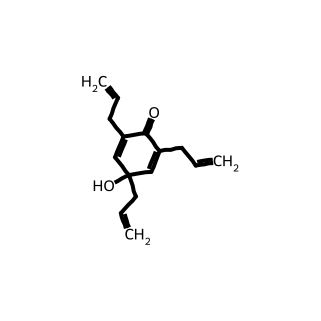 C=CCC1=CC(O)(CC=C)C=C(CC=C)C1=O